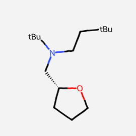 CC(C)(C)CCN(C[C@H]1CCCO1)C(C)(C)C